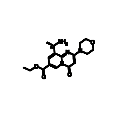 CCOC(=O)c1cc([C@@H](C)N)c2nc(N3CCOCC3)cc(=O)n2c1